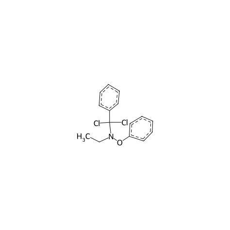 CCN(Oc1ccccc1)C(Cl)(Cl)c1ccccc1